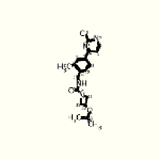 Cc1cc(-c2ccnc(Cl)n2)ccc1CNC(=O)N1CC(OC(C)C)C1